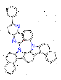 c1ccc(-c2ccc3nc(-n4c5ccc6ccccc6c5c5ccc6c7c8ccccc8ccc7n(-c7ccccc7)c6c54)ccc3n2)cc1